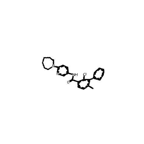 Cc1ccc(C(=O)Nc2ccc(N3CCCCCC3)nc2)c(Cl)c1-c1ccccc1